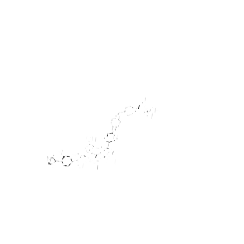 Cc1ncsc1-c1ccc(C(C)NC(=O)[C@@H]2C[C@@H](O)CN2C(=O)C(NC(=O)c2cnc(N3CCN(CC4CCN(C(=O)OC(C)(C)C)CC4)CC3)cn2)C(C)(C)C)cc1